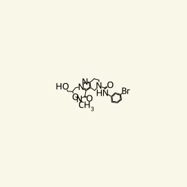 CN1OC(CO)Cn2nc3c(c2C1=O)CN(C(=O)Nc1cccc(Br)c1)CC3